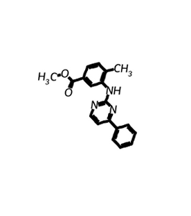 COC(=O)c1ccc(C)c(Nc2nccc(-c3ccccc3)n2)c1